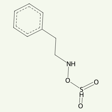 O=[SH](=O)ONCCc1ccccc1